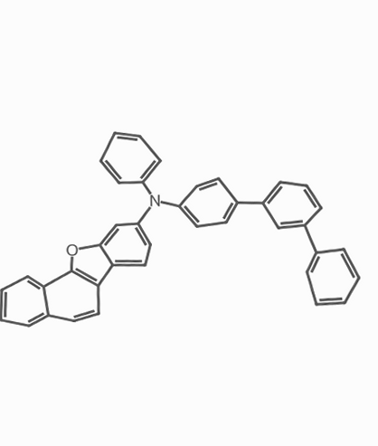 c1ccc(-c2cccc(-c3ccc(N(c4ccccc4)c4ccc5c(c4)oc4c6ccccc6ccc54)cc3)c2)cc1